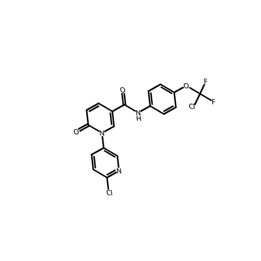 O=C(Nc1ccc(OC(F)(F)Cl)cc1)c1ccc(=O)n(-c2ccc(Cl)nc2)c1